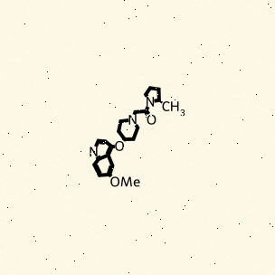 COc1ccc2nccc(OC3CCN(CC(=O)N4CCC[C@H]4C)CC3)c2c1